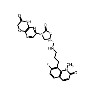 Cn1c(=O)ccc2ccc(F)c(CCCNC[C@@H]3CN(c4cnc5c(n4)NC(=O)CO5)C(=O)O3)c21